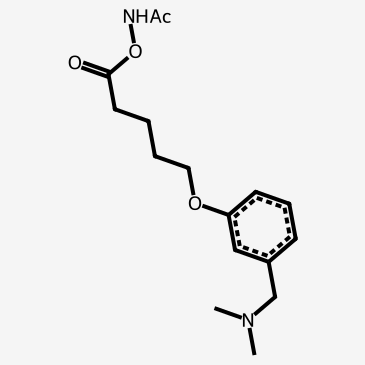 CC(=O)NOC(=O)CCCCOc1cccc(CN(C)C)c1